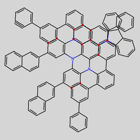 c1cccc(-c2cccc(-c3cccc(-c4cccc(-c5ccccc5)c4)c3N3c4ccc(-c5ccc6ccccc6c5)cc4N4c5cc(-c6ccc7ccccc7c6)ccc5N(c5c(-c6cccc(-c7ccccc7)c6)cccc5-c5cccc(-c6ccccc6)c5)c5cc(-n6c7ccccc7c7ccccc76)cc3c54)c2)c#1